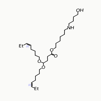 CC/C=C\CCCCOC(CCC(=O)OCCCCCCNCCCCO)OCCCC/C=C\CC